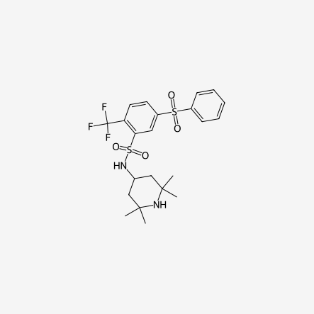 CC1(C)CC(NS(=O)(=O)c2cc(S(=O)(=O)c3ccccc3)ccc2C(F)(F)F)CC(C)(C)N1